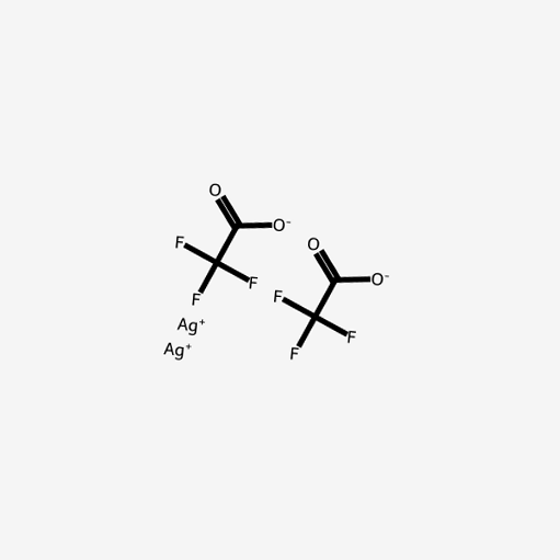 O=C([O-])C(F)(F)F.O=C([O-])C(F)(F)F.[Ag+].[Ag+]